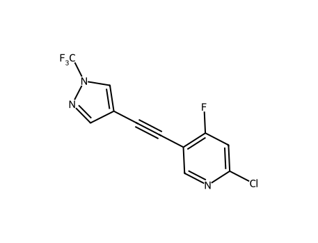 Fc1cc(Cl)ncc1C#Cc1cnn(C(F)(F)F)c1